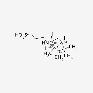 C[C@H]1[C@H](NCCCS(=O)(=O)O)C[C@@H]2C[C@@]1(C)C2(C)C